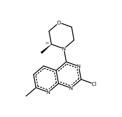 Cc1ccc2c(N3CCOC[C@@H]3C)nc(Cl)nc2n1